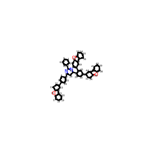 c1ccc(-c2nc(-c3ccc(-c4ccc5oc6ccccc6c5c4)cc3)cc(-c3ccc(-c4ccc5oc6ccccc6c5c4)cc3-c3ccc4oc5ccccc5c4c3)n2)cc1